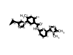 Cc1cc(F)c(C(=O)Nc2cccc(-c3nnc(C)n3C)n2)cc1-n1cnc(C2CC2)c1